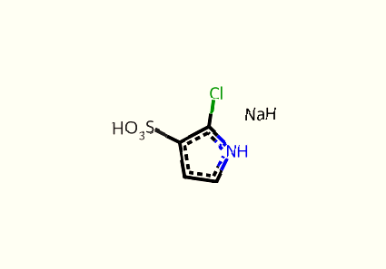 O=S(=O)(O)c1cc[nH]c1Cl.[NaH]